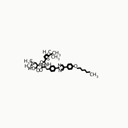 CCCCCCCOc1ccc(-c2cnc(-c3ccc(C[C@H](NC(=O)c4ccc(C(C)(C)C)s4)C(=O)NC(CN(C)C)C(=O)O)cc3)nc2)cc1